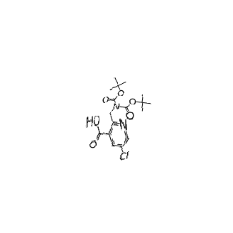 CC(C)(C)OC(=O)N(Cc1ncc(Cl)cc1C(=O)O)C(=O)OC(C)(C)C